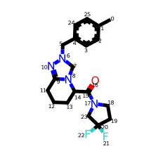 Cc1ccc(CN2CN3C(=N2)CCCC3C(=O)N2CCC(F)(F)C2)cc1